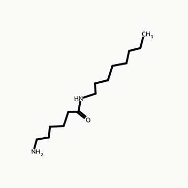 CCCCCCCCNC(=O)CCCCCN